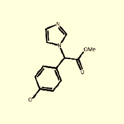 COC(=O)C(c1ccc(Cl)cc1)n1ccnc1